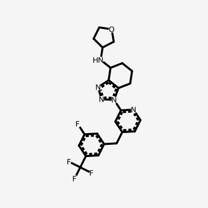 Fc1cc(Cc2ccnc(-n3nnc4c3CCCC4NC3CCOC3)c2)cc(C(F)(F)F)c1